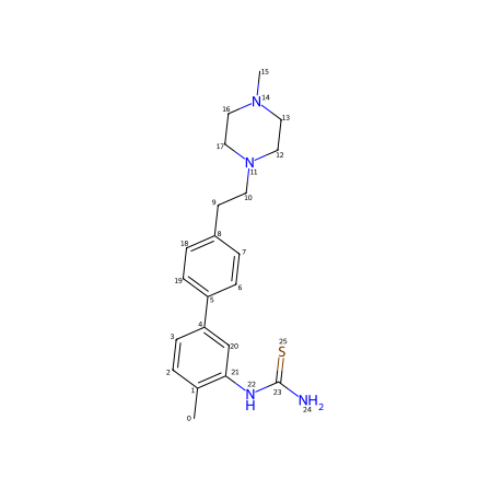 Cc1ccc(-c2ccc(CCN3CCN(C)CC3)cc2)cc1NC(N)=S